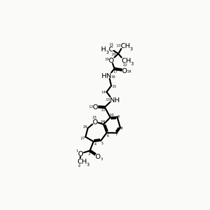 COC(=O)C1=Cc2cccc(C(=O)NCCNC(=O)OC(C)(C)C)c2OCC1